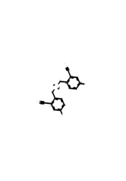 N#Cc1cc(Cl)ccc1CS(=O)(=O)Cc1ccc(Cl)cc1C#N